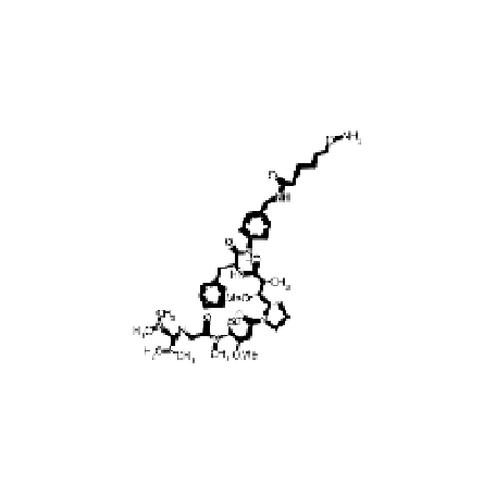 CC[C@H](C)[C@@H]([C@@H](CC(=O)N1CCC[C@H]1[C@H](OC)[C@@H](C)C(=O)N[C@@H](Cc1ccccc1)C(=O)Nc1ccc(CNC(=O)CCCCCON)cc1)OC)N(C)C(=O)CN=C(N(C)C)N(C)C